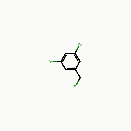 Br[CH]c1cc(Br)cc(Br)c1